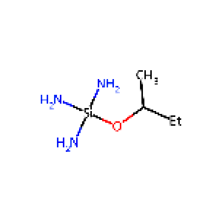 CCC(C)O[Si](N)(N)N